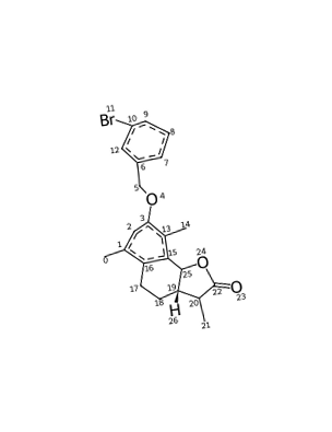 Cc1cc(OCc2cccc(Br)c2)c(C)c2c1CC[C@H]1C(C)C(=O)OC21